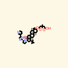 CC(C)(CC(=O)O)CC(=O)O[C@H]1CC[C@]2(C)[C@H]3CC[C@@H]4[C@H]5C(C6(C)CC6)CC[C@]5(C(=O)N5CCC[C@H]5c5ncc(-c6cccnc6)[nH]5)CC[C@@]4(C)[C@]3(C)CC[C@H]2C1(C)C